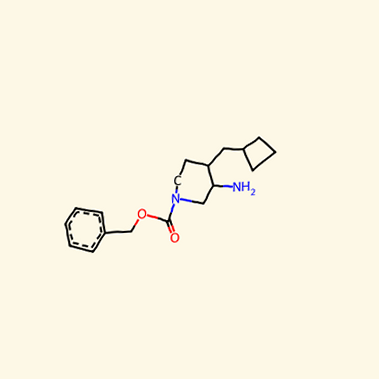 NC1CN(C(=O)OCc2ccccc2)CCC1CC1CCC1